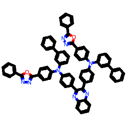 c1ccc(-c2cccc(N(c3ccc(-c4nnc(-c5ccccc5)o4)cc3)c3ccc(-c4nc5ccccc5nc4-c4ccc(N(c5ccc(-c6nnc(-c7ccccc7)o6)cc5)c5cccc(-c6ccccc6)c5)cc4)cc3)c2)cc1